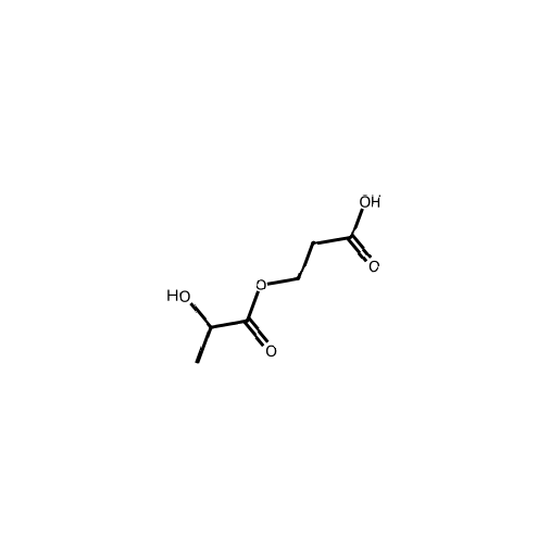 CC(O)C(=O)OCCC(=O)O